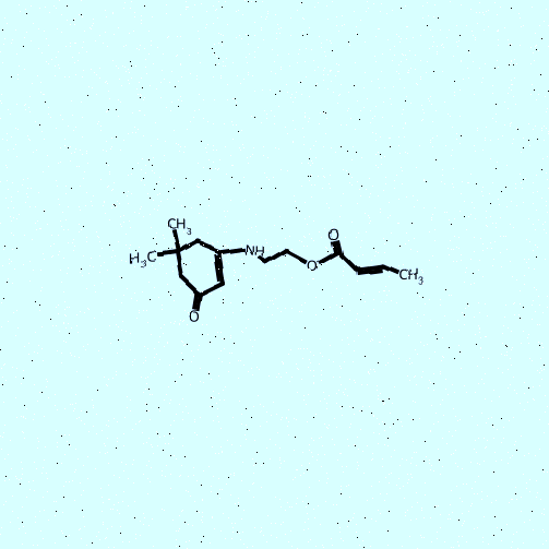 C/C=C/C(=O)OCCNC1=CC(=O)CC(C)(C)C1